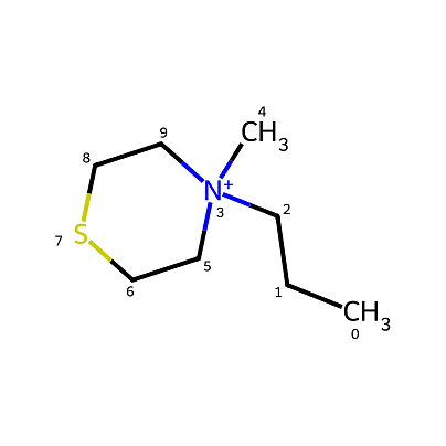 CCC[N+]1(C)CCSCC1